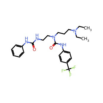 CCN(CC)CCCN(CCNC(=O)Nc1ccccc1)C(=O)Nc1ccc(C(F)(F)F)cc1